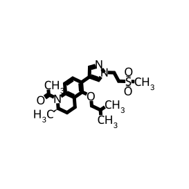 CC(=O)N1c2ccc(-c3cnn(CCS(C)(=O)=O)c3)c(OCC(C)C)c2CC[C@@H]1C